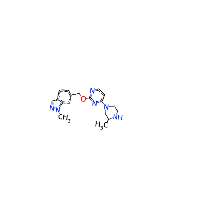 C[C@H]1CN(c2ccnc(OCc3ccc4cnn(C)c4c3)n2)CCN1